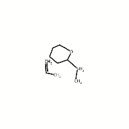 C[SiH2]C1CCCCO1.[CH2]C=C